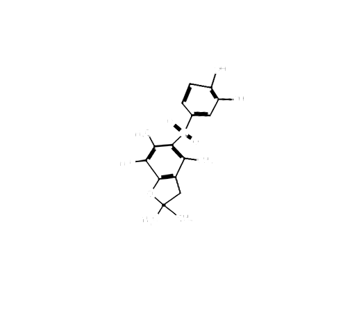 Cc1cc(S(=O)(=O)c2c(C)c(C)c3c(c2C)CC(C)(C)O3)ccc1O